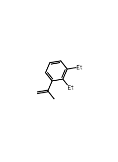 C=C(C)c1cccc(CC)c1CC